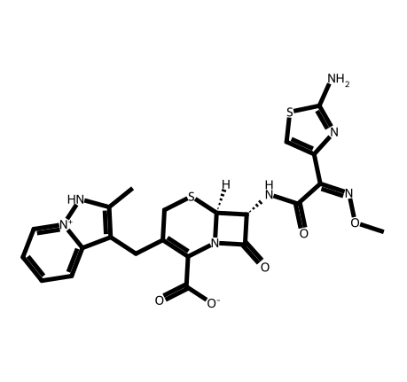 CO/N=C(\C(=O)N[C@@H]1C(=O)N2C(C(=O)[O-])=C(Cc3c(C)[nH][n+]4ccccc34)CS[C@@H]12)c1csc(N)n1